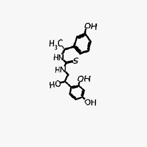 C[C@@H](NC(=S)NCC(O)c1ccc(O)cc1O)c1cccc(O)c1